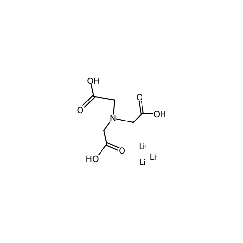 O=C(O)CN(CC(=O)O)CC(=O)O.[Li].[Li].[Li]